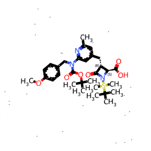 COc1ccc(CN(C(=O)OC(C)(C)C)c2cc(C[C@H]3C(=O)N(S(C)(C)C(C)(C)C)[C@@H]3C(=O)O)cc(C)n2)cc1